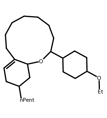 CCCCCC1CC=C2CCCCCCCC(C3CCC(OCC)CC3)OC2C1